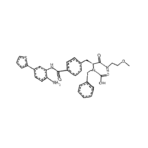 COCCNC(=O)[C@H](Cc1ccc(C(=O)Nc2cc(-c3cccs3)ccc2N)cc1)N(Cc1ccccc1)C(=O)O